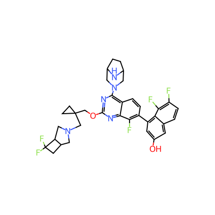 Oc1cc(-c2ccc3c(N4CC5CCC(C4)N5)nc(OCC4(CN5CC6CC(F)(F)C6C5)CC4)nc3c2F)c2c(F)c(F)ccc2c1